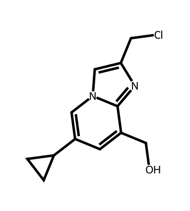 OCc1cc(C2CC2)cn2cc(CCl)nc12